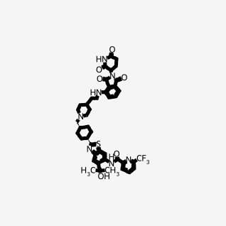 CC(C)(O)c1cc2nc([C@H]3CC[C@@H](CN4CCC(CCNc5cccc6c5C(=O)N(C5CCC(=O)NC5=O)C6=O)CC4)CC3)sc2cc1NC(=O)c1cccc(C(F)(F)F)n1